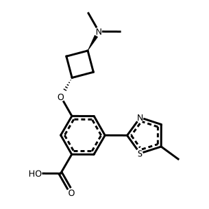 Cc1cnc(-c2cc(O[C@H]3C[C@H](N(C)C)C3)cc(C(=O)O)c2)s1